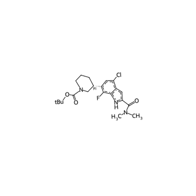 CN(C)C(=O)c1cc2c(Cl)cc([C@H]3CCCN(C(=O)OC(C)(C)C)C3)c(F)c2[nH]1